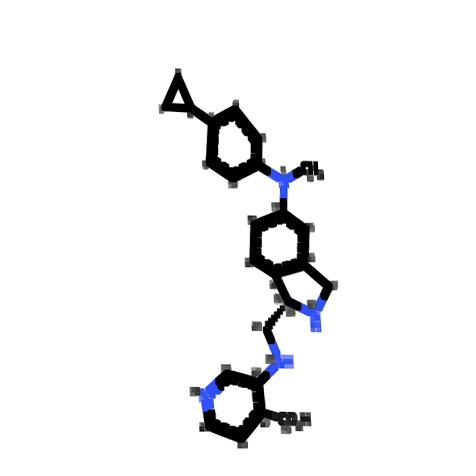 CN(c1ccc(C2CC2)cc1)c1ccc2c(c1)CN[C@@H]2CNc1cnccc1C(=O)O